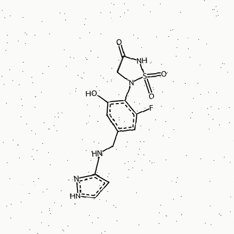 O=C1CN(c2c(O)cc(CNc3cc[nH]n3)cc2F)S(=O)(=O)N1